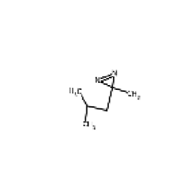 CC(C)CC1(C)N=N1